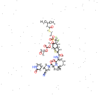 CC(C)CC(=O)SCCOP(=O)(OCOC(=O)OC1COC1)C(F)(F)c1ccc2sc(C(=O)N[C@H]3CCCC[C@H]4CC[C@@H](C(=O)N5C[C@@H](C#N)[C@H](c6cc[nH]c(=O)c6)C5)N4C3=O)cc2c1